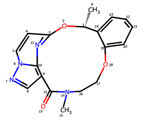 C[C@H]1Oc2ccn3ncc(c3n2)C(=O)N(C)CCOc2ccccc21